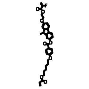 C=CC(=O)OCCCCCCOc1ccc(C(=O)Oc2ccc3c(c2)C(C)c2cc(OCCOC(=O)C(=C)F)ccc2-3)cc1